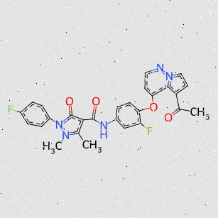 CC(=O)c1ccn2nccc(Oc3ccc(NC(=O)c4c(C)n(C)n(-c5ccc(F)cc5)c4=O)cc3F)c12